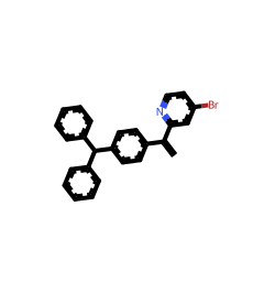 C=C(c1ccc(C(c2ccccc2)c2ccccc2)cc1)c1cc(Br)ccn1